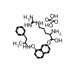 CC(Cc1ccccc1)NOc1cccc2ccccc12.N=C(N)NCCCC(N)C(=O)O.O=S(=O)(O)O